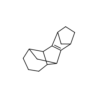 C1CC2CC3C4=C(C5CCC4C5)C2C3C1